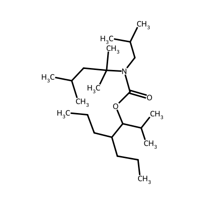 CCCC(CCC)C(OC(=O)N(CC(C)C)C(C)(C)CC(C)C)C(C)C